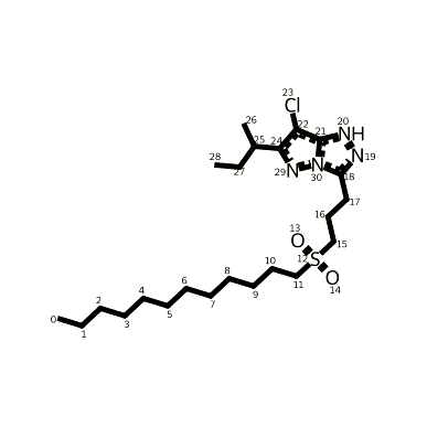 CCCCCCCCCCCCS(=O)(=O)CCCc1n[nH]c2c(Cl)c(C(C)CC)nn12